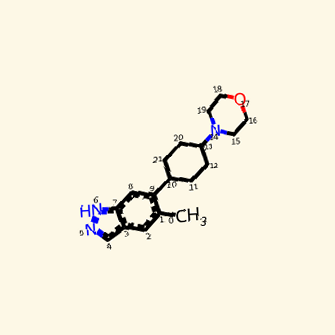 Cc1cc2cn[nH]c2cc1C1CCC(N2CCOCC2)CC1